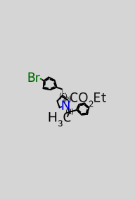 CCOC(=O)[C@H]1[C@@H](Cc2ccc(Br)cc2)CCN1[C@H](C)c1ccccc1